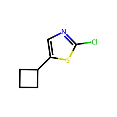 Clc1ncc(C2CCC2)s1